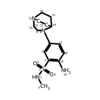 CNS(=O)(=O)c1cc(N2CCN3CCC2CC3)ccc1N